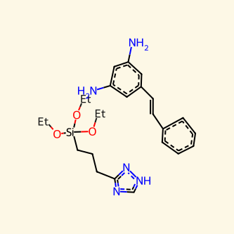 CCO[Si](CCCc1nc[nH]n1)(OCC)OCC.Nc1cc(N)cc(C=Cc2ccccc2)c1